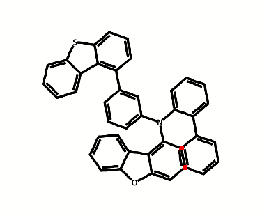 c1ccc(-c2ccccc2N(c2cccc(-c3cccc4sc5ccccc5c34)c2)c2cccc3oc4ccccc4c23)cc1